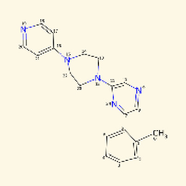 Cc1ccccc1-c1cncc(N2CCN(c3ccncc3)CC2)n1